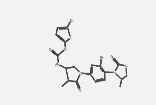 CC1C(=O)N(c2ccc(N3C(=O)OCC3C)c(Br)c2)CC1NC(=O)Oc1ccc(Br)s1